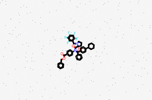 O=C(OCc1ccccc1)c1ccc(N(Cc2ccc(C3CCCCC3)cc2)C(=O)[C@]2(OCc3ccccc3)CCCN2Cc2c(F)c(F)c(F)c(F)c2F)cc1